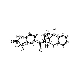 CCC1(C)[C@H]2Cc3ccccc3[C@]1(C)CCN2C(=O)c1ccc2c(c1)C(C)(C)C(=O)N2